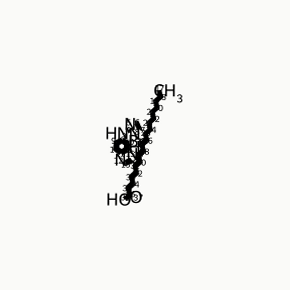 Brc1c(NC2=NCCN2)ccc2nccnc12.CCCCCCCCC/C=C/C=C/C=C/C=C/C=C/C(=O)O